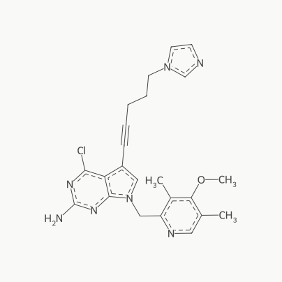 COc1c(C)cnc(Cn2cc(C#CCCCn3ccnc3)c3c(Cl)nc(N)nc32)c1C